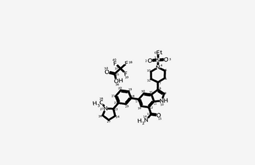 CCS(=O)(=O)N1CCC(c2c[nH]c3c(C(N)=O)cc(-c4cccc(C5CCCN5C)c4)cc23)CC1.O=C(O)C(F)(F)F